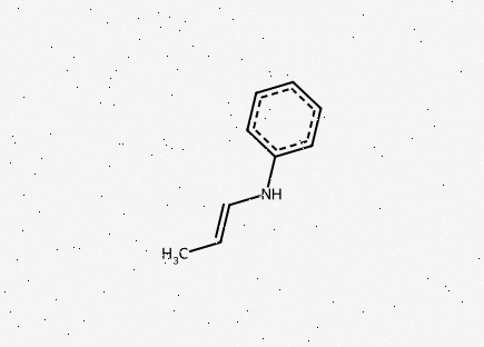 C/C=C/Nc1ccccc1